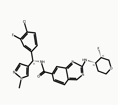 Cn1cc([C@@H](NC(=O)c2ccc3cnc(N[C@H]4CCOC[C@H]4F)nc3c2)c2ccc(Cl)c(F)c2)cn1